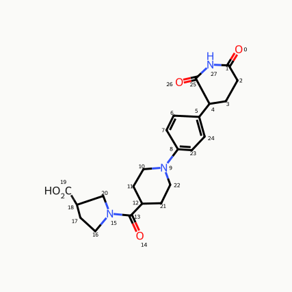 O=C1CCC(c2ccc(N3CCC(C(=O)N4CCC(C(=O)O)C4)CC3)cc2)C(=O)N1